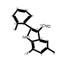 Cc1cc(F)c2[nH]c(-c3ccccc3C)c(C=O)c2c1